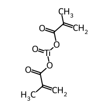 C=C(C)C(=O)[O][Ti](=[O])[O]C(=O)C(=C)C